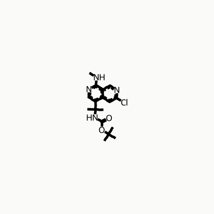 CNc1ncc(C(C)(C)NC(=O)OC(C)(C)C)c2cc(Cl)ncc12